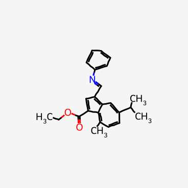 CCOC(=O)c1cc(C=Nc2ccccc2)c2cc(C(C)C)ccc(C)c1-2